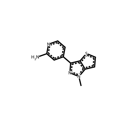 Cn1nc(-c2ccnc(N)c2)c2sccc21